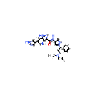 CN(C)CCC(c1ccccc1)n1cc(NC(=O)c2n[nH]c3cc(-c4cn[nH]c4)cnc23)cn1